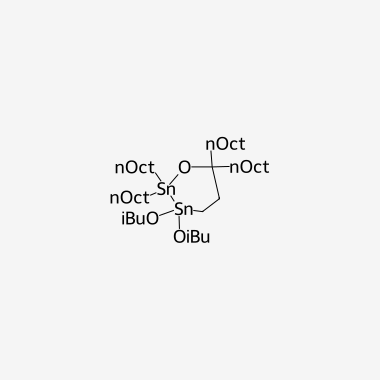 CCCCCCCCC1(CCCCCCCC)C[CH2][Sn]([O]CC(C)C)([O]CC(C)C)[Sn]([CH2]CCCCCCC)([CH2]CCCCCCC)[O]1